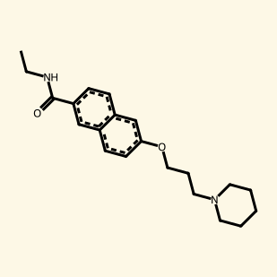 CCNC(=O)c1ccc2cc(OCCCN3CCCCC3)ccc2c1